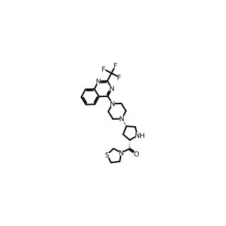 O=C([C@@H]1C[C@H](N2CCN(c3nc(C(F)(F)F)nc4ccccc34)CC2)CN1)N1CCSC1